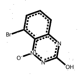 [O-][n+]1nc(O)nc2cccc(Br)c21